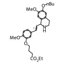 CCCCOc1cc2c(cc1OC)C(/C=C/c1ccc(OC)c(OCCCC(=O)OCC)c1)NCC2